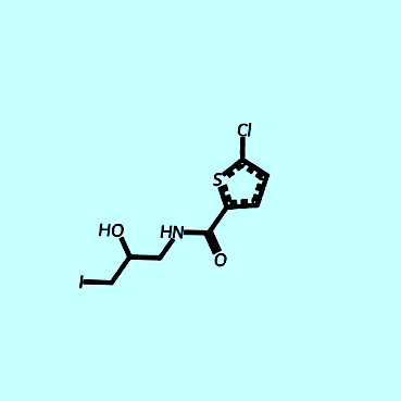 O=C(NCC(O)CI)c1ccc(Cl)s1